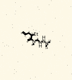 C=CCC(CC)C(=C)N(C)CNNN(C)C